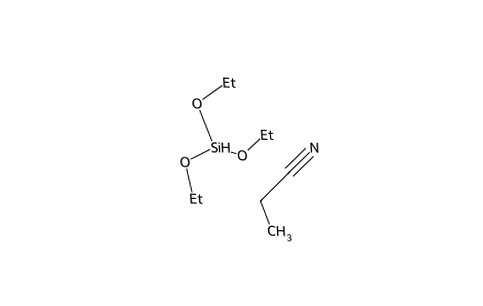 CCC#N.CCO[SiH](OCC)OCC